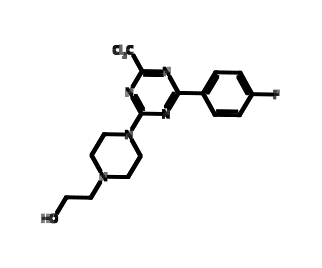 OCCN1CCN(c2nc(-c3ccc(F)cc3)nc(C(Cl)(Cl)Cl)n2)CC1